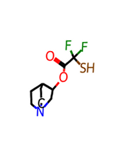 O=C(OC1CN2CCC1CC2)C(F)(F)S